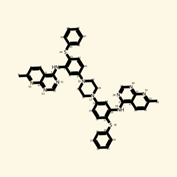 Cc1ccc2c(Nc3cc(N4CCN(c5ccc(Sc6ccccc6)c(Nc6ncnc7nc(C)ccc67)c5)CC4)ccc3Sc3ccccc3)ncnc2n1